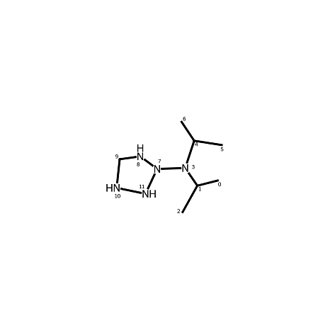 CC(C)N(C(C)C)N1NCNN1